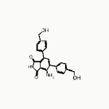 Nc1c(-c2ccc(CO)cc2)cc(-c2ccc(CO)cc2)c2c1C(=O)NC2=O